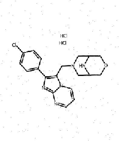 Cl.Cl.Clc1ccc(-c2nc3ncccn3c2CN2CC3COCC(C2)N3)cc1